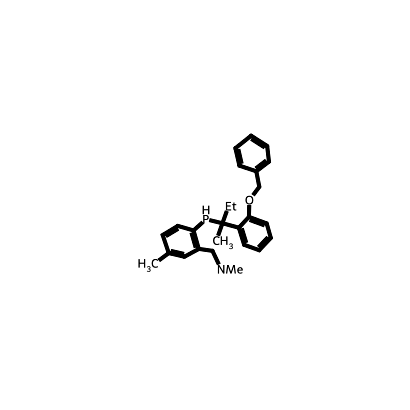 CCC(C)(Pc1ccc(C)cc1CNC)c1ccccc1OCc1ccccc1